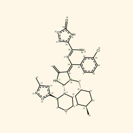 C=C1N[C@@H](N2CCOC[C@H]2c2nc(C)no2)N(C[C@H]2CC[C@H](C)CC2)/C1=C(/N=C(\N)c1noc(=O)[nH]1)c1cccc(Cl)c1